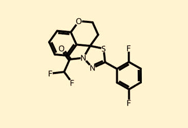 O=C(C(F)F)N1N=C(c2cc(F)ccc2F)SC12CCOc1ccccc12